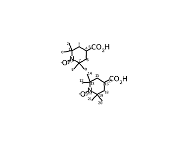 CC1(C)CC(C(=O)O)CC(C)(C)N1[O].CC1(C)CC(C(=O)O)CC(C)(C)N1[O]